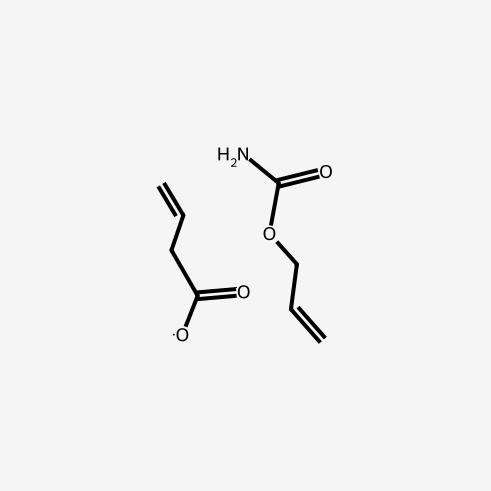 C=CCC([O])=O.C=CCOC(N)=O